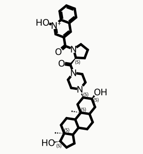 C[C@]12C[C@H](N3CCN(C(=O)[C@@H]4CCCN4C(=O)c4cc5ccccc5[n+](O)c4)CC3)[C@@H](O)CC1CCC1C2CC[C@@]2(C)C1CC[C@@H]2O